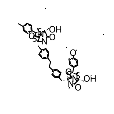 COc1ccc(C2S[C@@]3(CO)C(=O)N(C)[C@@](Cc4ccc(CCc5ccc(C[C@@]67SC(c8ccc(C)cc8)S[C@@](CO)(C(=O)N6C)N(C)C7=O)cc5)cc4)(S2)C(=O)N3C)cc1